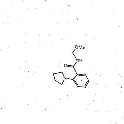 COCNC(=O)c1ccccc1N1CCCC1